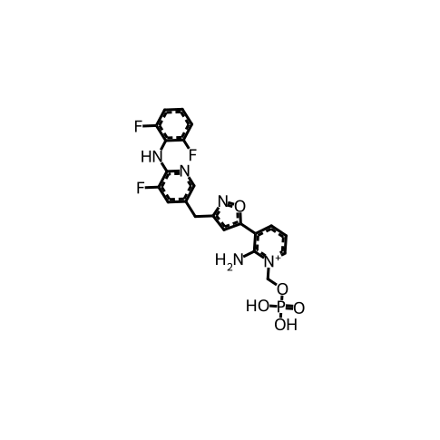 Nc1c(-c2cc(Cc3cnc(Nc4c(F)cccc4F)c(F)c3)no2)ccc[n+]1COP(=O)(O)O